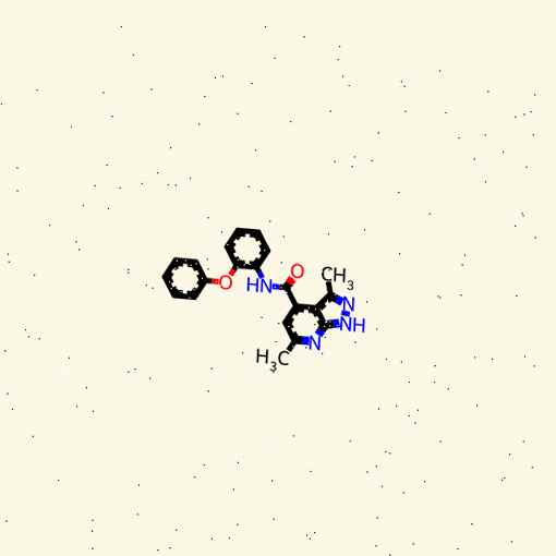 Cc1cc(C(=O)Nc2ccccc2Oc2ccccc2)c2c(C)n[nH]c2n1